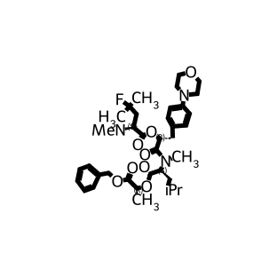 CN[C@@H](CC(C)(C)F)C(=O)O[C@H](Cc1ccc(N2CCOCC2)cc1)C(=O)N(C)[C@@H](CC(C)C)C(=O)O[C@H](C)C(=O)OCc1ccccc1